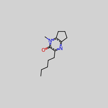 CCCCCc1nc2c(n(C)c1=O)CCC2